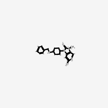 Cn1c(=O)n(C2CCC(OCc3ccccc3)CC2)c2cc(Cl)ncc21